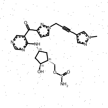 Cn1cc(C#CCn2ccc(C(=O)c3cncnc3N[C@@H]3C[C@H](COS(N)=O)[C@@H](O)C3)n2)cn1